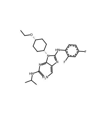 C=C(/N=C1\C(=C/N)N=C(Nc2ccc(F)cc2F)N1[C@H]1CC[C@@H](OCC)CC1)NC(C)C